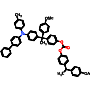 COc1ccc(C(C)(c2ccc(OC(=O)Oc3ccc(C(C)c4ccc(OC(C)=O)cc4)cc3)cc2)c2ccc(N(c3ccc(C)cc3)c3ccc(-c4ccccc4)cc3)cc2)cc1